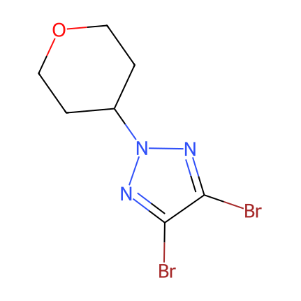 Brc1nn(C2CCOCC2)nc1Br